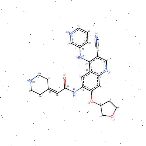 N#Cc1cnc2cc(OC3CCOC3)c(NC(=O)C=C3CCNCC3)cc2c1Nc1cccnc1